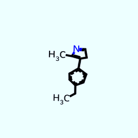 CCc1ccc(C2=C(C)N=CC2)cc1